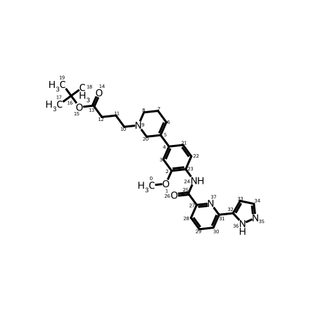 COc1cc(C2=CCCN(CCCC(=O)OC(C)(C)C)C2)ccc1NC(=O)c1cccc(-c2ccn[nH]2)n1